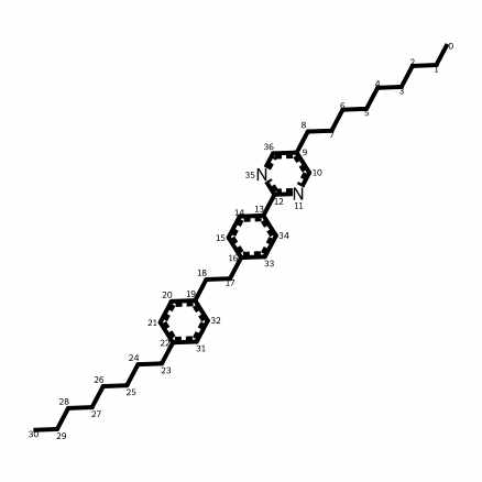 CCCCCCCCCc1cnc(-c2ccc(CCc3ccc(CCCCCCCC)cc3)cc2)nc1